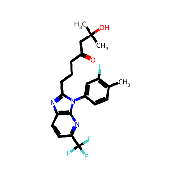 Cc1ccc(-n2c(CCCC(=O)CC(C)(C)O)nc3ccc(C(F)(F)F)nc32)cc1F